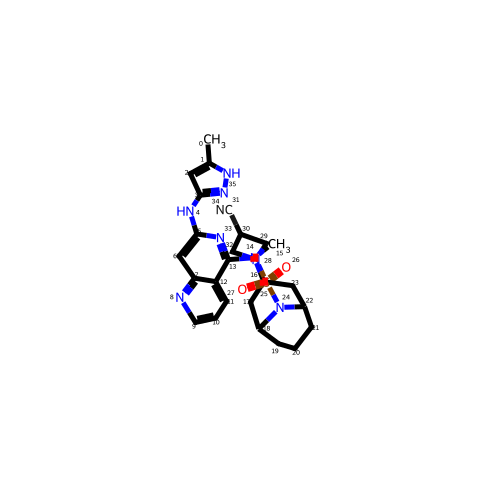 Cc1cc(Nc2cc3ncccc3c(N(C)C3CC4CCCC(C3)N4S(=O)(=O)N3CC(C#N)C3)n2)n[nH]1